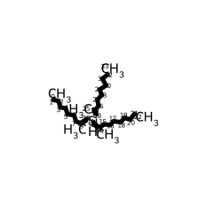 CCCCCCCCC(C)=C[SiH](C=C(C)CCCCCCCC)C=C(C)CCCCCCCC